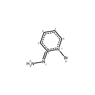 NN=c1ccccn1Br